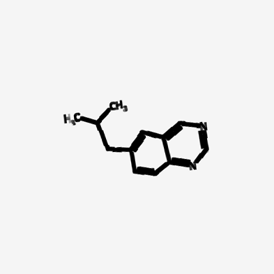 CC(C)Cc1ccc2ncncc2c1